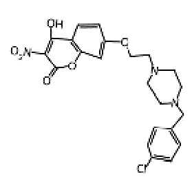 O=c1oc2cc(OCCN3CCN(Cc4ccc(Cl)cc4)CC3)ccc2c(O)c1[N+](=O)[O-]